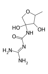 CC1OCC(O)(NC(=O)N=C(N)N)C1O